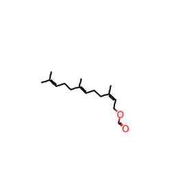 CC(C)=CCC/C(C)=C/CC/C(C)=C\COC=O